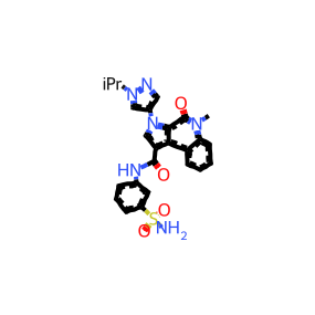 CC(C)n1cc(-n2cc(C(=O)Nc3cccc(S(N)(=O)=O)c3)c3c4ccccc4n(C)c(=O)c32)cn1